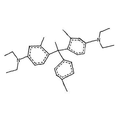 CCN(CC)c1ccc(C(C)(c2ccc(C)cc2)c2ccc(N(CC)CC)cc2C)c(C)c1